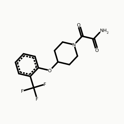 NC(=O)C(=O)N1CCC(Oc2ccccc2C(F)(F)F)CC1